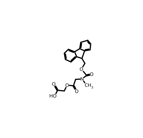 CN(CC(=O)OCC(=O)O)C(=O)OCC1c2ccccc2-c2ccccc21